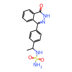 CC(NS(N)(=O)=O)c1ccc(-c2n[nH]c(=O)c3ccccc23)cc1